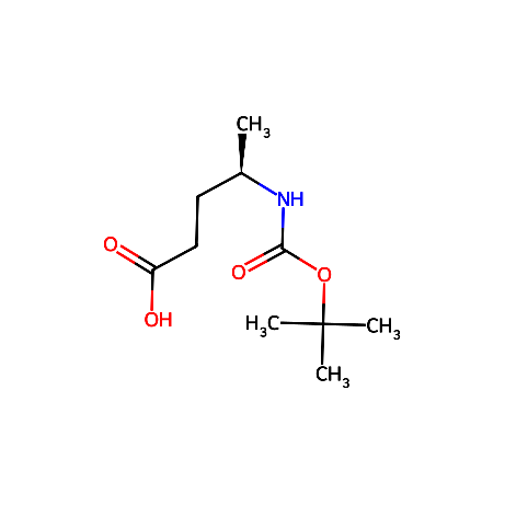 C[C@H](CCC(=O)O)NC(=O)OC(C)(C)C